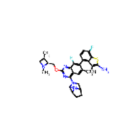 CN1C[C@@H](C(F)(F)F)[C@H]1COc1nc(N2CC3CCC(C2)N3)c2cc(C(F)(F)F)c(-c3ccc(F)c4sc(N)c(C#N)c34)c(F)c2n1